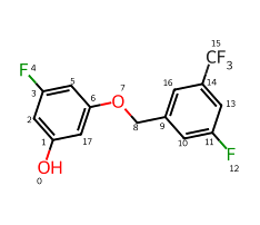 Oc1cc(F)cc(OCc2cc(F)cc(C(F)(F)F)c2)c1